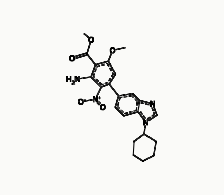 COC(=O)c1c(OC)cc(-c2ccc3c(c2)ncn3C2CCCCC2)c([N+](=O)[O-])c1N